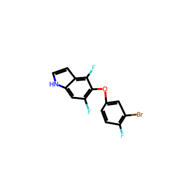 Fc1ccc(Oc2c(F)cc3[nH]ccc3c2F)cc1Br